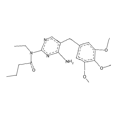 CCCC(=O)N(CC)c1ncc(Cc2cc(OC)c(OC)c(OC)c2)c(N)n1